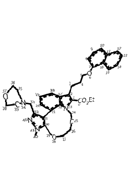 CCOC(=O)c1c(CCCOc2cccc3ccccc23)c2cccc3c2n1CCCCOCc1c-3c(CN2CCOCC2)nn1C